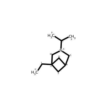 CCC12CC(CN(C(C)C)C1)C2